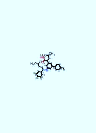 CC(C)CCC(Nc1cc(-c2ccc(CF)cc2)cc(C(CC(C)C)C(=O)O)c1)c1cc(F)c(F)c(F)c1